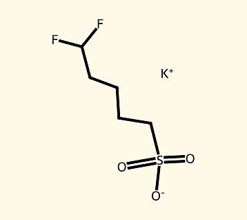 O=S(=O)([O-])CCCCC(F)F.[K+]